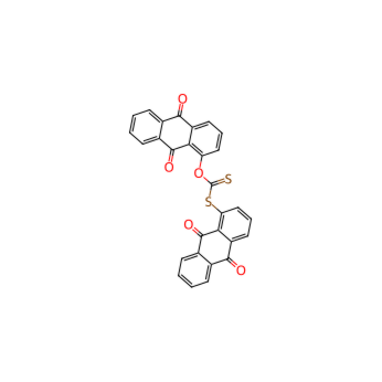 O=C1c2ccccc2C(=O)c2c(OC(=S)Sc3cccc4c3C(=O)c3ccccc3C4=O)cccc21